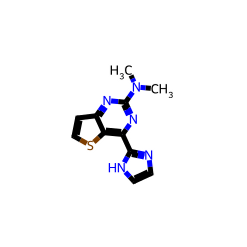 CN(C)c1nc(-c2ncc[nH]2)c2sccc2n1